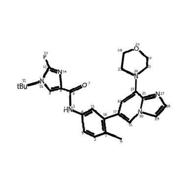 Cc1ccc(NC(=O)c2cn(C(C)(C)C)c(F)n2)cc1-c1cc(N2CCOCC2)c2nccn2c1